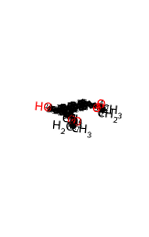 C=C(C)C(=O)OCCCc1ccc(-c2ccc(-c3ccc(CCCO)cc3CC)c(CCOC(=O)C(=C)C)c2)cc1